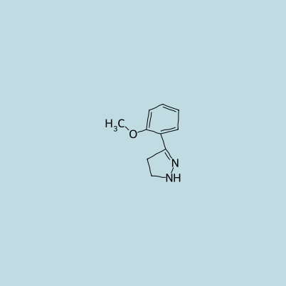 COc1ccccc1C1=NNCC1